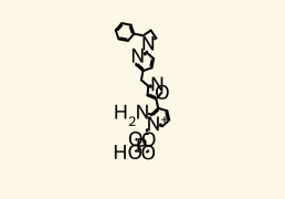 Nc1c(-c2cc(Cc3ccc(N4CCC4c4ccccc4)nc3)no2)ccc[n+]1COP(=O)([O-])O